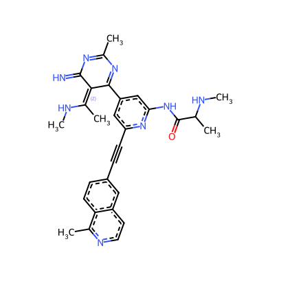 CN/C(C)=C1\C(=N)N=C(C)N=C1c1cc(C#Cc2ccc3c(C)nccc3c2)nc(NC(=O)C(C)NC)c1